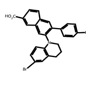 O=C(O)c1ccc2cc(-c3ccc(F)cc3)c(N3CCCc4cc(Br)ccc43)cc2c1